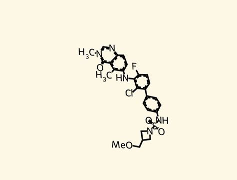 COCC1CN(S(=O)(=O)Nc2ccc(-c3ccc(F)c(Nc4ccc5ncn(C)c(=O)c5c4C)c3Cl)cc2)C1